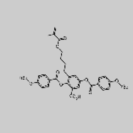 C=C(C)C(=O)OCCCCc1cc(OC(=O)c2ccc(OCCCC)cc2)cc(C(=O)O)c1OC(=O)c1ccc(OCCCC)cc1